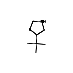 CC(C)(C)C1CNCS1